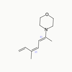 C=C/C(C)=C\C=C(/C)N1CCOCC1